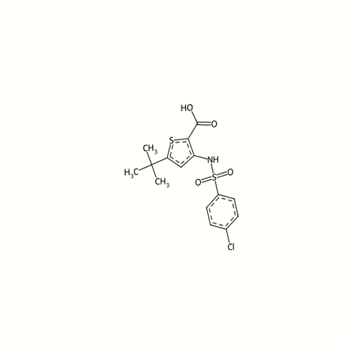 CC(C)(C)c1cc(NS(=O)(=O)c2ccc(Cl)cc2)c(C(=O)O)s1